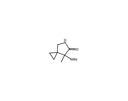 CNC1(C)C(=O)NCC12CC2